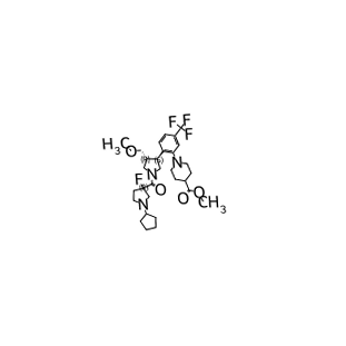 COC[C@H]1CN(C(=O)[C@@]2(F)CCN(C3CCCC3)C2)C[C@@H]1c1ccc(C(F)(F)F)cc1N1CCC(C(=O)OC)CC1